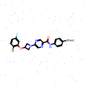 CCCCCc1ccc(NC(=O)c2cnc(N3CC(Oc4cc(F)ccc4Br)C3)cn2)cc1